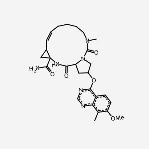 COc1ccc2c(OC3CC4C(=O)NC5(C(N)=O)CC5C=CCCCCN(C)C(=O)N4C3)ncnc2c1C